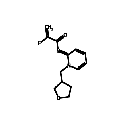 C=C(F)C(=O)/N=c1\ccccn1CC1CCOC1